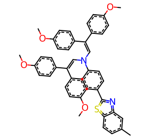 COc1ccc(C(=CN(C=C(c2ccc(OC)cc2)c2ccc(OC)cc2)c2ccc(-c3nc4cc(C)ccc4s3)cc2)c2ccc(OC)cc2)cc1